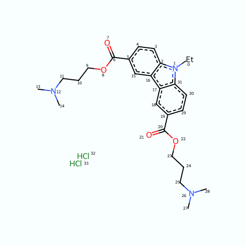 CCn1c2ccc(C(=O)OCCCN(C)C)cc2c2cc(C(=O)OCCCN(C)C)ccc21.Cl.Cl